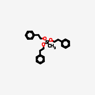 C[Si](OCCc1ccccc1)(OCCc1ccccc1)OCCc1ccccc1